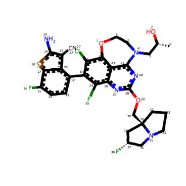 C[C@@H](O)CN1CCOc2c(Cl)c(-c3ccc(F)c4sc(N)c(C#N)c34)c(F)c3nc(OC[C@@]45CCCN4C[C@H](F)C5)nc1c23